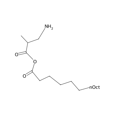 CCCCCCCCCCCCCC(=O)OC(=O)C(C)CN